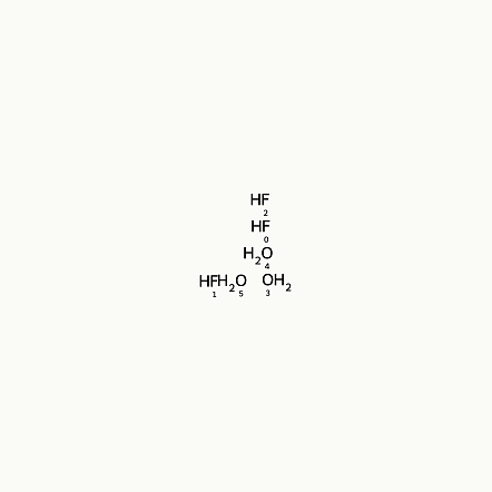 F.F.F.O.O.O